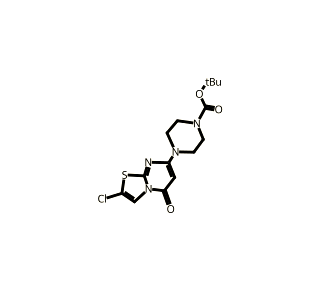 CC(C)(C)OC(=O)N1CCN(c2cc(=O)n3cc(Cl)sc3n2)CC1